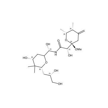 C=C1C[C@](OC)([C@H](O)C(=O)N[C@@H](O)C2C[C@@H](O)C(C)(C)[C@@H](C[C@H](O)CO)O2)O[C@H](C)[C@@H]1C